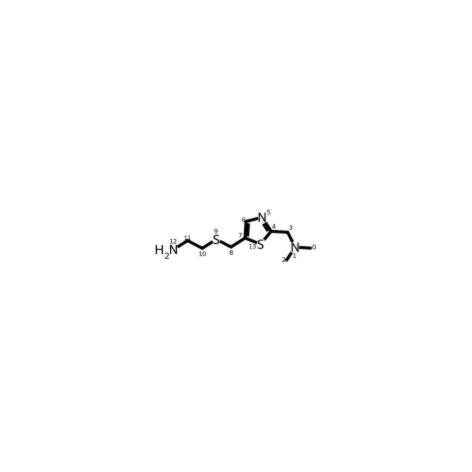 CN(C)Cc1ncc(CSCCN)s1